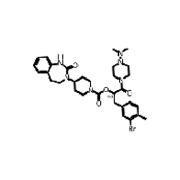 Cc1ccc(C[C@@H](OC(=O)N2CCC(N3CCc4ccccc4NC3=O)CC2)C(=O)N2CCN(N(C)C)CC2)cc1Br